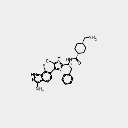 NC[C@H]1CC[C@H](C(=O)N[C@@H](Cc2ccccc2)c2nc(-c3ccc4c(N)n[nH]c4c3F)c(Cl)[nH]2)CC1